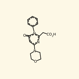 O=C(O)Cc1nc(N2CCOCC2)cc(=O)n1-c1ccccc1